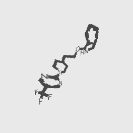 FC(F)(F)c1cnc(N2CCC(CCOc3[nH]cc4ccccc34)CC2)nc1